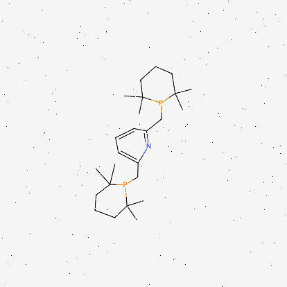 CC1(C)CCCC(C)(C)P1Cc1cccc(CP2C(C)(C)CCCC2(C)C)n1